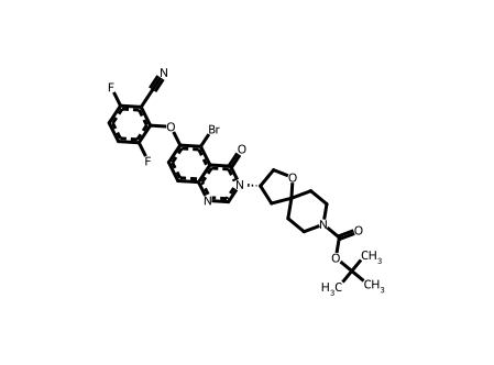 CC(C)(C)OC(=O)N1CCC2(CC1)C[C@H](n1cnc3ccc(Oc4c(F)ccc(F)c4C#N)c(Br)c3c1=O)CO2